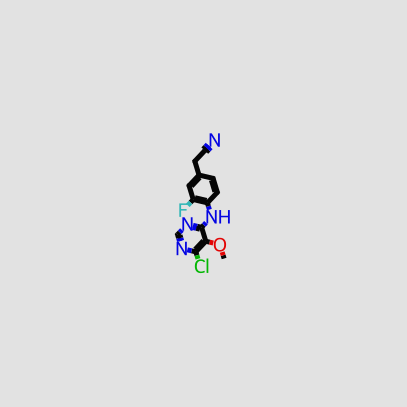 COc1c(Cl)ncnc1Nc1ccc(CC#N)cc1F